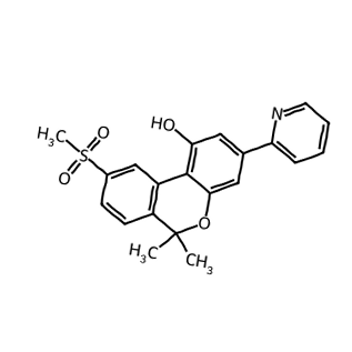 CC1(C)Oc2cc(-c3ccccn3)cc(O)c2-c2cc(S(C)(=O)=O)ccc21